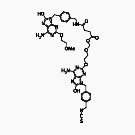 COCCOc1nc(N)c2nc(O)n(Cc3ccc(CNC(=O)CCC(=O)OCOCCOc4nc(N)c5nc(O)n(Cc6ccc(CN=C=S)cc6)c5n4)cc3)c2n1